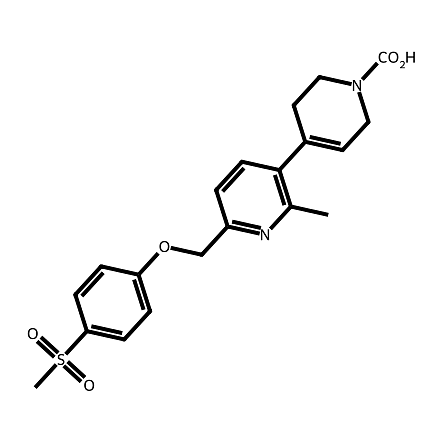 Cc1nc(COc2ccc(S(C)(=O)=O)cc2)ccc1C1=CCN(C(=O)O)CC1